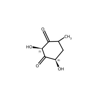 CC1C[C@@H](O)C(=O)[C@@H](O)C1=O